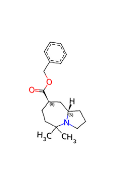 CC1(C)CC[C@@H](C(=O)OCc2ccccc2)C[C@@H]2CCCN21